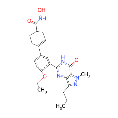 CCCc1nn(C)c2c(=O)[nH]c(-c3cc(C4=CCC(C(=O)NO)CC4)ccc3OCC)nc12